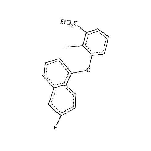 CCOC(=O)c1cccc(Oc2ccnc3cc(F)ccc23)c1C